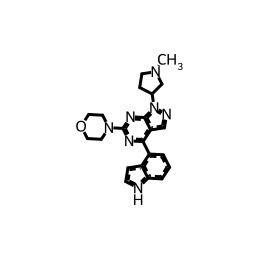 CN1CCC(n2ncc3c(-c4cccc5[nH]ccc45)nc(N4CCOCC4)nc32)C1